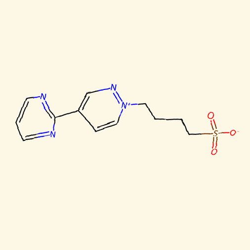 O=S(=O)([O-])CCCC[n+]1ccc(-c2ncccn2)cn1